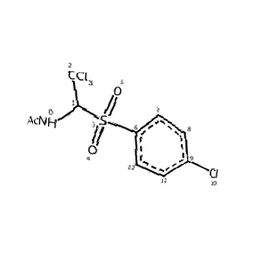 CC(=O)NC(C(Cl)(Cl)Cl)S(=O)(=O)c1ccc(Cl)cc1